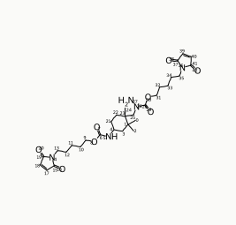 CC1(C)CC(NC(=O)OCCCCCN2C(=O)C=CC2=O)CCC1(C)CN(N)C(=O)OCCCCCN1C(=O)C=CC1=O